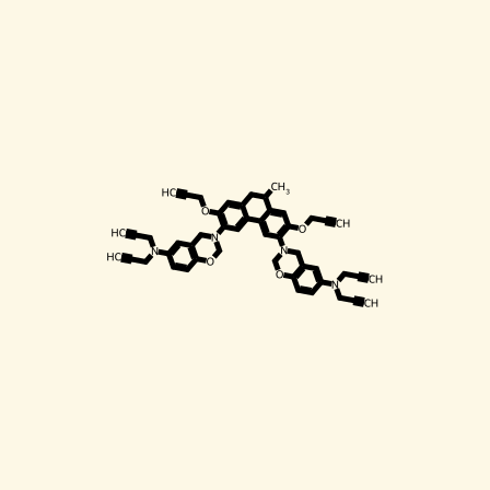 C#CCOc1cc2c(cc1N1COc3ccc(N(CC#C)CC#C)cc3C1)-c1cc(N3COc4ccc(N(CC#C)CC#C)cc4C3)c(OCC#C)cc1C(C)C2